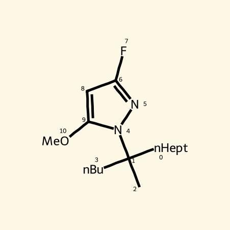 CCCCCCCC(C)(CCCC)n1nc(F)cc1OC